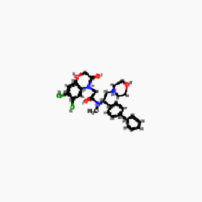 CN(C(=O)CN1C(=O)COc2cc(Cl)c(Cl)cc21)[C@@H](CN1CCOCC1)c1ccc(-c2ccccc2)cc1